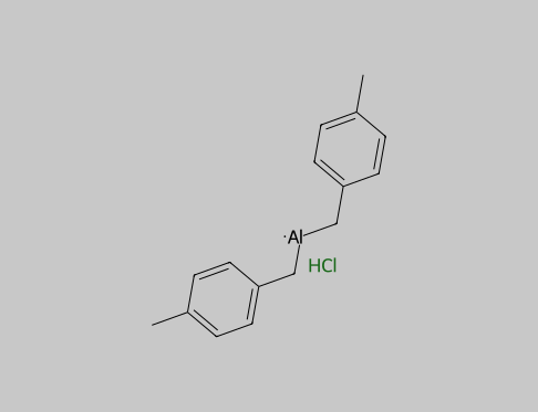 Cc1ccc([CH2][Al][CH2]c2ccc(C)cc2)cc1.Cl